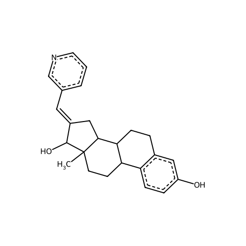 CC12CCC3c4ccc(O)cc4CCC3C1CC(=Cc1cccnc1)C2O